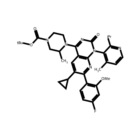 COc1cc(F)ccc1-c1nc2c(cc1C1CC1)c(N1CCN(C(=O)OC(C)(C)C)CC1C)nc(=O)n2-c1c(C)ccnc1C(C)C